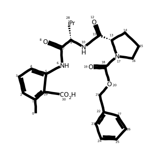 Cc1cccc(NC(=O)[C@@H](NC(=O)[C@@H]2CCCN2C(=O)OCc2ccccc2)C(C)C)c1C(=O)O